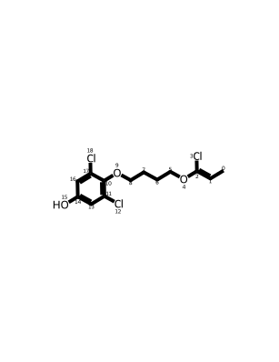 CC=C(Cl)OCCCCOc1c(Cl)cc(O)cc1Cl